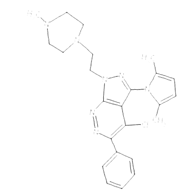 Cc1ccc(C)n1-c1nn(CCN2CCN(C)CC2)c2nnc(-c3ccccc3)c(Cl)c12